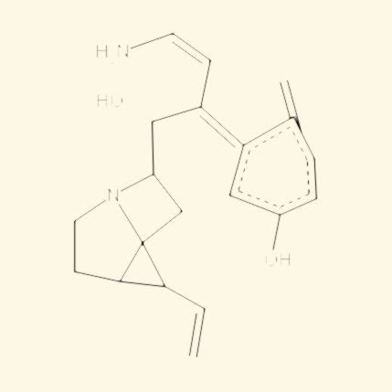 C=CC1C2CCN3C([C@H](O)C(/C=C\N)=c4\cc(O)ccc4=C)CC123